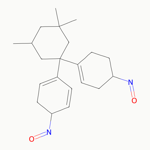 CC1CC(C)(C)CC(C2=CCC(N=O)C=C2)(C2=CCC(N=O)CC2)C1